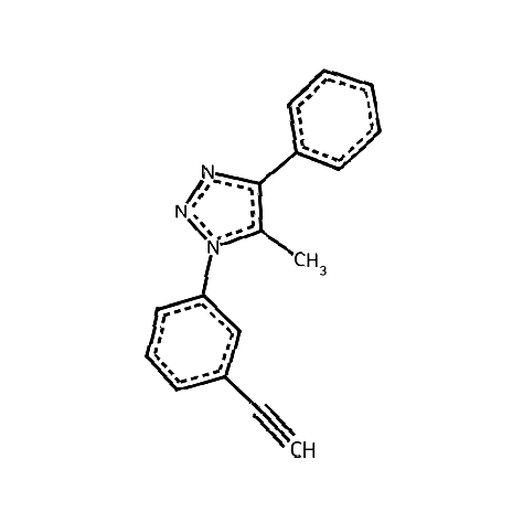 C#Cc1cccc(-n2nnc(-c3ccccc3)c2C)c1